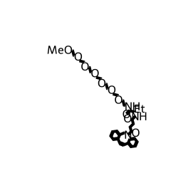 CC[C@H](NC(=O)CCC(=O)N1Cc2ccccc2C#Cc2ccccc21)C(=O)NCCOCCOCCOCCOCCOCCOCCOC